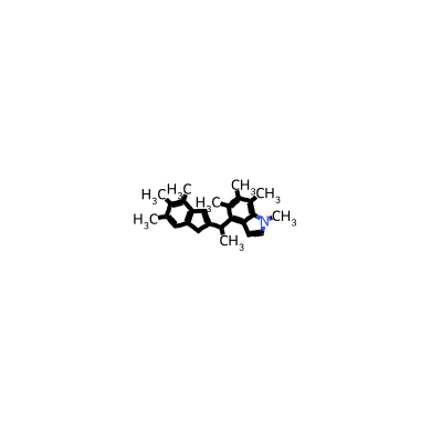 Cc1cc2c(c(C)c1C)C=C(C(C)c1c(C)c(C)c(C)c3c1ccn3C)C2